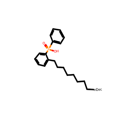 CCCCCCCCCCCCCCCCCCc1ccccc1P(=O)(O)c1ccccc1